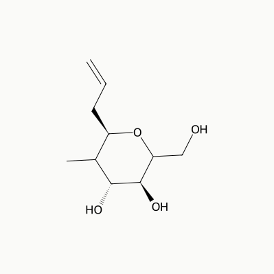 C=CC[C@H]1OC(CO)[C@@H](O)[C@H](O)C1C